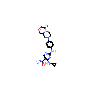 NC(=O)c1cnc(Nc2ccc(N3CCN4C(=O)COCC4C3)cc2)nc1NC1CC1